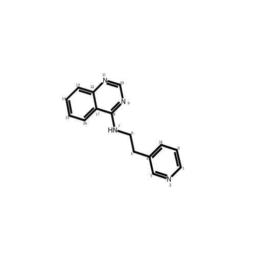 c1cncc(CCNc2ncnc3ccccc23)c1